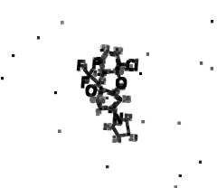 COC1(C(F)(F)F)c2ccc(N3CCCC3)cc2Oc2c(Cl)cccc21